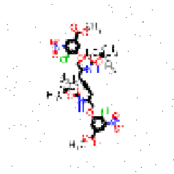 COC(=O)c1cc(OCC(CC#CCC(COc2cc(C(=O)OC)cc([N+](=O)[O-])c2Cl)NC(=O)OC(C)(C)C)NC(=O)OC(C)(C)C)c(Cl)c([N+](=O)[O-])c1